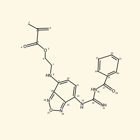 C=C(C)C(=O)OCCNc1ccc(NC(=N)NC(=O)c2ccccc2)c2nonc12